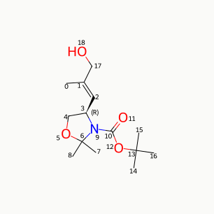 CC(=C[C@@H]1COC(C)(C)N1C(=O)OC(C)(C)C)CO